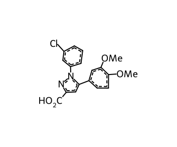 COc1ccc(-c2cc(C(=O)O)nn2-c2cccc(Cl)c2)cc1OC